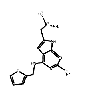 CC[C@H](C)[C@H](N)Cc1cc2c(NCc3ccco3)nc(Cl)nc2[nH]1.Cl